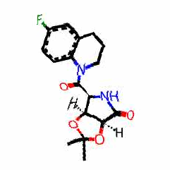 CC1(C)O[C@H]2[C@@H](C(=O)N3CCCc4cc(F)ccc43)NC(=O)[C@H]2O1